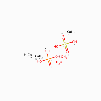 O.O.O=P(O)(O)O.O=S(=O)(O)O.[CaH2].[CaH2].[CaH2]